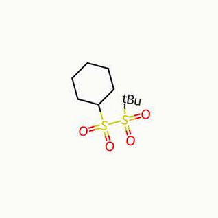 CC(C)(C)S(=O)(=O)S(=O)(=O)C1CCCCC1